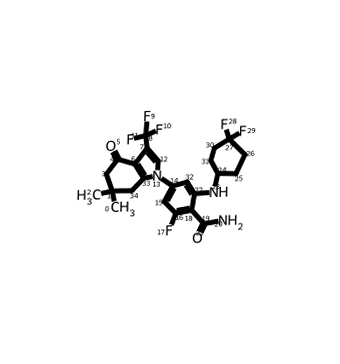 CC1(C)CC(=O)c2c(C(F)(F)F)cn(-c3cc(F)c(C(N)=O)c(NC4CCC(F)(F)CC4)c3)c2C1